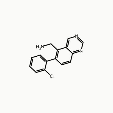 NCc1c(-c2ccccc2Cl)ccc2ncncc12